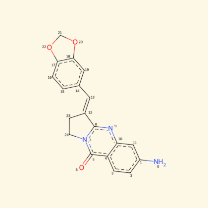 Nc1ccc2c(=O)n3c(nc2c1)C(=Cc1ccc2c(c1)OCO2)CC3